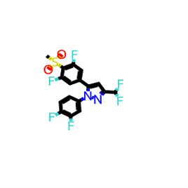 CS(=O)(=O)c1c(F)cc(-c2cc(C(F)F)nn2-c2ccc(F)c(F)c2)cc1F